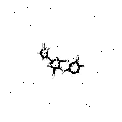 Cc1ccc(Oc2c(C(F)(F)F)nc(-c3cc[nH]n3)[nH]c2=O)cc1Cl